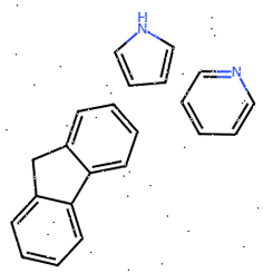 c1cc[nH]c1.c1ccc2c(c1)Cc1ccccc1-2.c1ccncc1